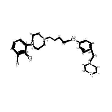 Clc1cccc(N2CCN(CCCCOc3ccc(CN4CCOCC4)cc3)CC2)c1Cl